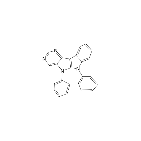 c1ccc(-n2c3ccccc3c3c4ncncc4n(-c4ccccc4)c32)cc1